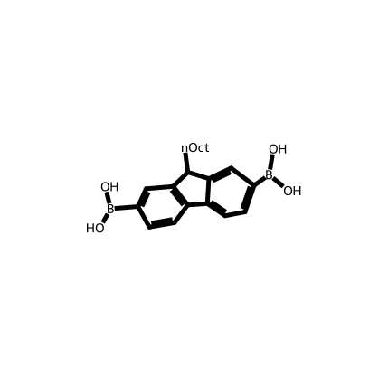 CCCCCCCCC1c2cc(B(O)O)ccc2-c2ccc(B(O)O)cc21